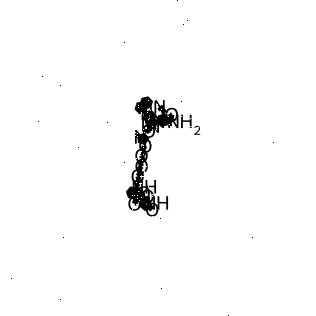 CN1C[C@H](OCCOCCOCCOCCNc2cccc3c2C(=O)N(C2CCC(=O)NC2=O)C3=O)C[C@H]1COc1nc2c(c(N3CCN(C(N)=O)[C@@H](CC#N)C3)n1)CCN(c1cccc3ccccc13)C2